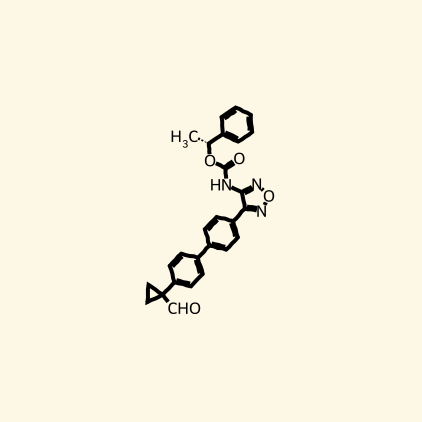 C[C@@H](OC(=O)Nc1nonc1-c1ccc(-c2ccc(C3(C=O)CC3)cc2)cc1)c1ccccc1